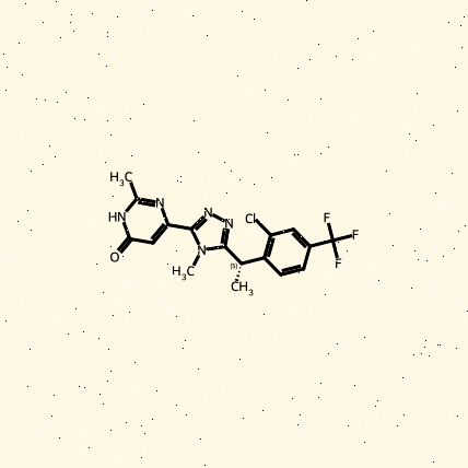 Cc1nc(-c2nnc([C@@H](C)c3ccc(C(F)(F)F)cc3Cl)n2C)cc(=O)[nH]1